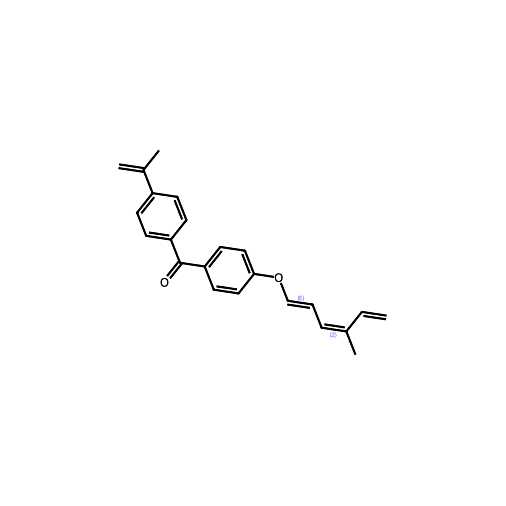 C=C/C(C)=C\C=C\Oc1ccc(C(=O)c2ccc(C(=C)C)cc2)cc1